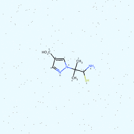 CC(C)(C(N)S)n1cc(C(=O)O)cn1